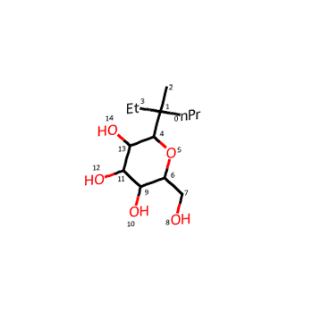 CCCC(C)(CC)C1OC(CO)C(O)C(O)C1O